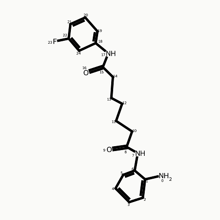 Nc1ccccc1NC(=O)CCCCCC(=O)Nc1cccc(F)c1